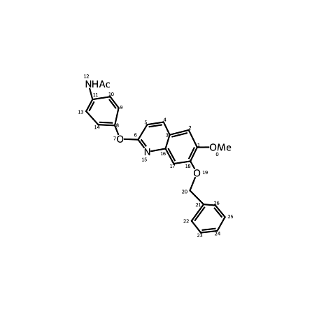 COc1cc2ccc(Oc3ccc(NC(C)=O)cc3)nc2cc1OCc1ccccc1